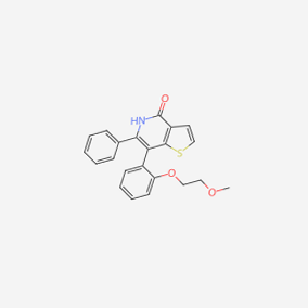 COCCOc1ccccc1-c1c(-c2ccccc2)[nH]c(=O)c2ccsc12